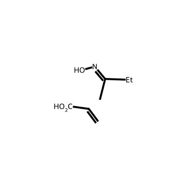 C=CC(=O)O.CC/C(C)=N/O